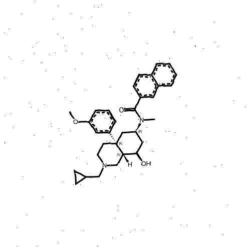 COc1cccc([C@@]23CCN(CC4CC4)C[C@H]2C(O)C[C@H](N(C)C(=O)c2ccc4ccccc4c2)C3)c1